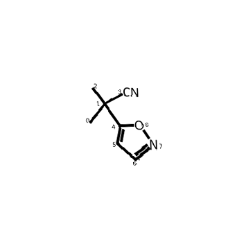 CC(C)(C#N)c1c[c]no1